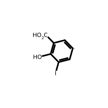 O=C(O)c1c[c]cc(I)c1O